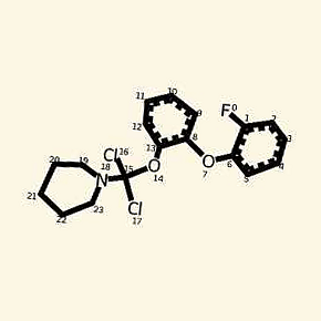 Fc1ccccc1Oc1ccccc1OC(Cl)(Cl)N1CCCCC1